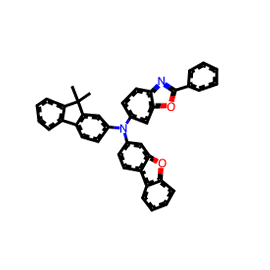 CC1(C)c2ccccc2-c2ccc(N(c3ccc4nc(-c5ccccc5)oc4c3)c3ccc4c(c3)oc3ccccc34)cc21